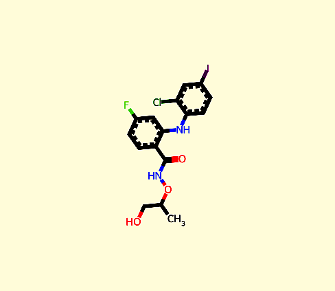 CC(CO)ONC(=O)c1ccc(F)cc1Nc1ccc(I)cc1Cl